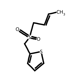 C/C=C/CS(=O)(=O)Cc1cccs1